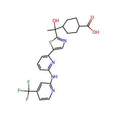 CC(O)(c1ncc(-c2cccc(Nc3cc(C(F)(F)F)ccn3)n2)s1)C1CCC(C(=O)O)CC1